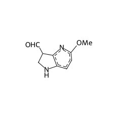 COc1ccc2c(n1)C(C=O)CN2